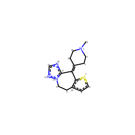 CN1CCC(=C2c3sccc3CCn3ncnc32)CC1